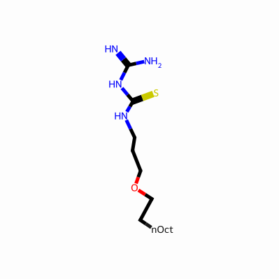 CCCCCCCCCCOCCCNC(=S)NC(=N)N